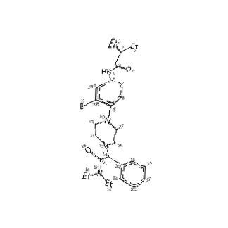 CCC(CC)C(=O)Nc1ccc(N2CCN(C(C(=O)N(CC)CC)c3ccccc3)CC2)c(Br)c1